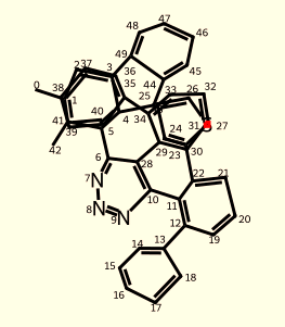 Cc1cc2c(c(-c3nnnc(-c4c(-c5ccccc5)cccc4-c4cccs4)c3-c3ccccc3-c3ccccc3)c1C)Cc1ccccc1-2